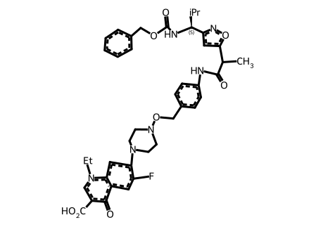 CCn1cc(C(=O)O)c(=O)c2cc(F)c(N3CCN(OCc4ccc(NC(=O)C(C)c5cc([C@@H](NC(=O)OCc6ccccc6)C(C)C)no5)cc4)CC3)cc21